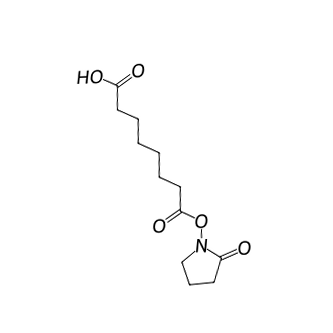 O=C(O)CCCCCCC(=O)ON1CCCC1=O